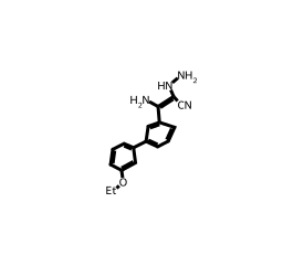 CCOc1cccc(-c2cccc(/C(N)=C(\C#N)NN)c2)c1